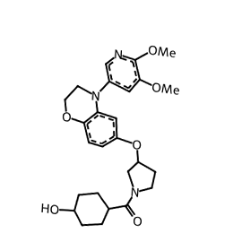 COc1cc(N2CCOc3ccc(OC4CCN(C(=O)C5CCC(O)CC5)C4)cc32)cnc1OC